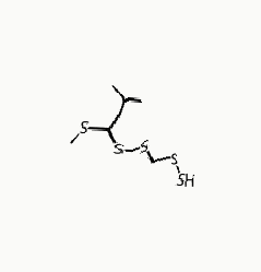 CSC(SSCSS)C(C)C